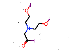 O=C(I)CN(CCOI)CCOI